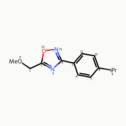 COCc1nc(-c2ccc(C(C)C)cc2)no1